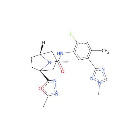 Cc1nnc([C@]23CC[C@H](C[C@H](C)C2)N3C(=O)Nc2cc(-c3ncn(C)n3)c(C(F)(F)F)cc2F)o1